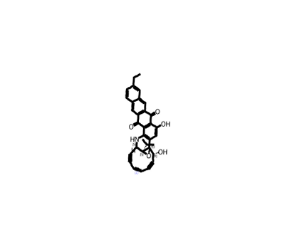 CCc1ccc2cc3c(cc2c1)C(=O)c1c(O)cc2c(c1C3=O)N[C@H]1C#C/C=C\C#C[C@@H](O)[C@@]23O[C@@]13C(C)C